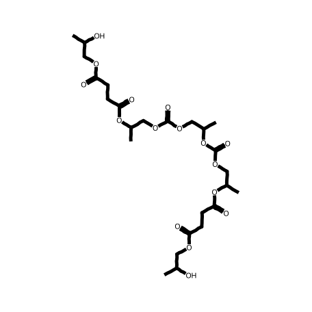 CC(O)COC(=O)CCC(=O)OC(C)COC(=O)OCC(C)OC(=O)OCC(C)OC(=O)CCC(=O)OCC(C)O